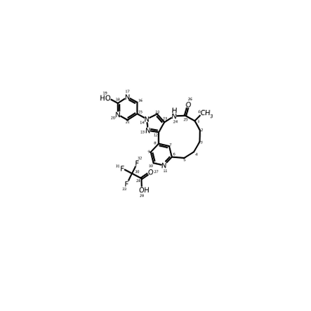 CC1CCCCc2cc(ccn2)-c2nn(-c3cnc(O)nc3)cc2NC1=O.O=C(O)C(F)(F)F